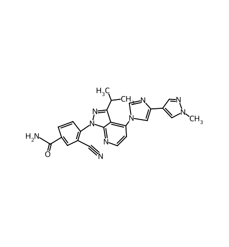 CC(C)c1nn(-c2ccc(C(N)=O)cc2C#N)c2nccc(-n3cnc(-c4cnn(C)c4)c3)c12